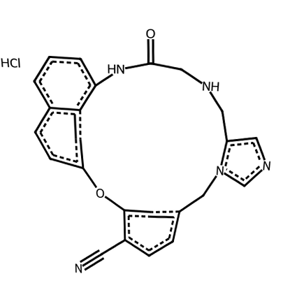 Cl.N#Cc1ccc2cc1Oc1ccc3cccc(c3c1)NC(=O)CNCc1cncn1C2